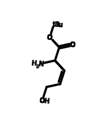 CC(C)(C)OC(=O)C(N)/C=C\CO